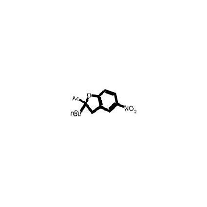 CCCCC1(C(C)=O)Cc2cc([N+](=O)[O-])ccc2O1